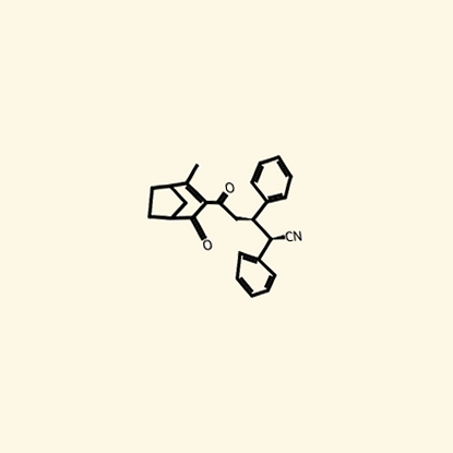 CC1=C(C(=O)C[C@@H](c2ccccc2)[C@@H](C#N)c2ccccc2)C(=O)C2CCC1C2